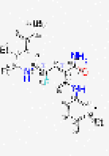 C=C(CC(CC)C(CC)N/C(C)=C(F)/C=C(\C(=C)Nc1ccc(C)c(CC)c1)C(N)=O)CC(C)(C)C